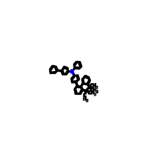 CC1(C)c2ccccc2-c2c(-c3ccc(N(c4ccccc4)c4ccc(-c5ccccc5)cc4)cc3)cccc2C1(C)C